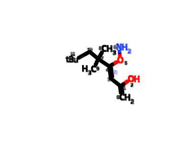 C=C(O)/C=C(\ON)C(C)(C)CC(C)(C)C